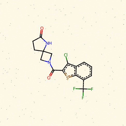 O=C1CCC2(CN(C(=O)c3sc4c(C(F)(F)F)cccc4c3Cl)C2)N1